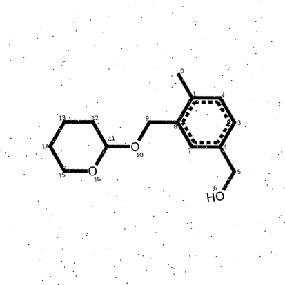 Cc1ccc(CO)cc1COC1CCCCO1